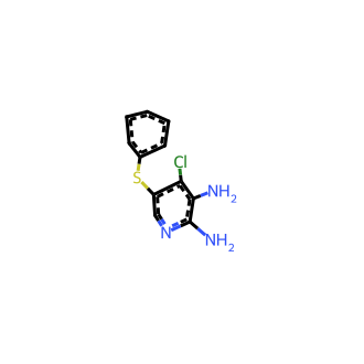 Nc1ncc(Sc2ccccc2)c(Cl)c1N